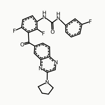 O=C(Nc1cccc(F)c1)Nc1ccc(F)c(C(=O)c2ccc3ncc(N4CCCC4)nc3c2)c1F